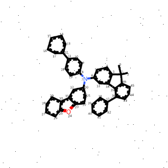 CC1(C)c2ccc(N(c3ccc(-c4ccccc4)cc3)c3ccc4oc5ccccc5c4c3)cc2-c2c(-c3ccccc3)cccc21